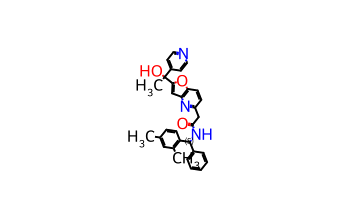 Cc1ccc([C@@H](NC(=O)Cc2ccc3oc(C(C)(O)c4ccncc4)cc3n2)c2ccccc2)c(C)c1